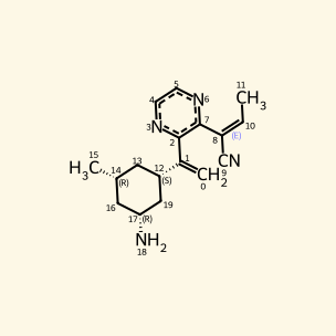 C=C(c1nccnc1/C(C#N)=C\C)[C@H]1C[C@@H](C)C[C@@H](N)C1